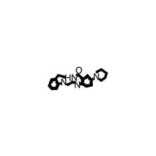 O=c1[nH]c(CN2CCc3ccccc32)nc2ccc(N3CCCCC3)cc12